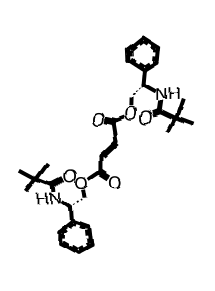 CC(C)(C)C(=O)N[C@H](COC(=O)/C=C/C(=O)OC[C@@H](NC(=O)C(C)(C)C)c1ccccc1)c1ccccc1